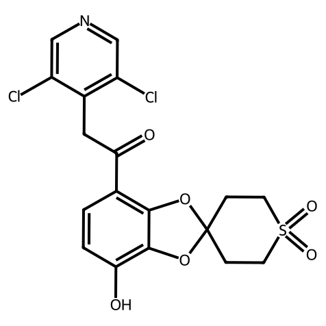 O=C(Cc1c(Cl)cncc1Cl)c1ccc(O)c2c1OC1(CCS(=O)(=O)CC1)O2